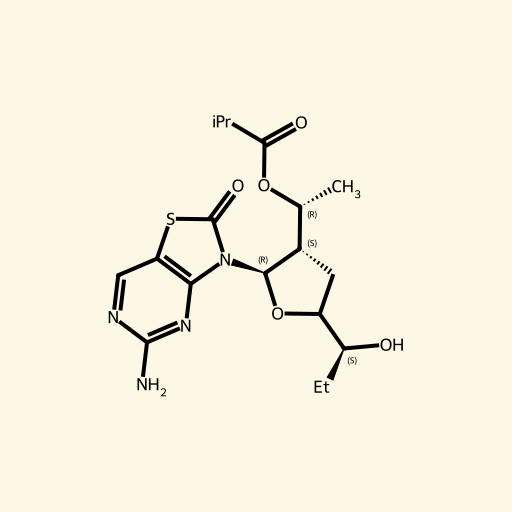 CC[C@H](O)C1C[C@@H]([C@@H](C)OC(=O)C(C)C)[C@H](n2c(=O)sc3cnc(N)nc32)O1